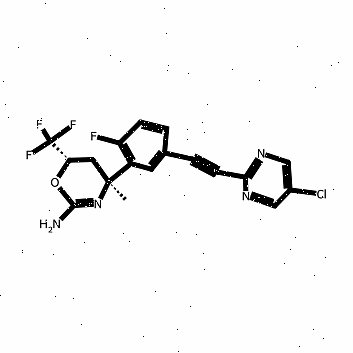 C[C@@]1(c2cc(C#Cc3ncc(Cl)cn3)ccc2F)C[C@@H](C(F)(F)F)OC(N)=N1